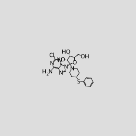 Nc1nc(Cl)nc2c1ncn2[C@]1(N2CCC(Sc3ccccc3)CC2)O[C@H](CO)[C@@H](O)[C@H]1O